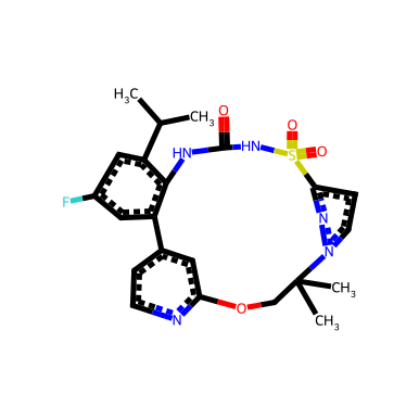 CC(C)c1cc(F)cc2c1NC(=O)NS(=O)(=O)c1ccn(n1)C(C)(C)COc1cc-2ccn1